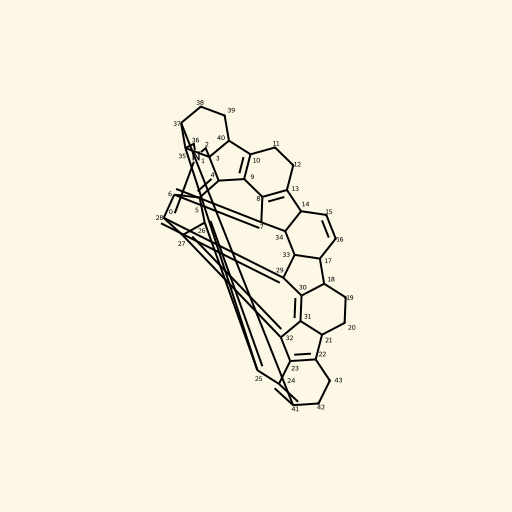 CN1CC23c4c5c6c7c8c4=C4CCC=8C8C=CC9C%10CCC%11C%12=c%13c%14c(c-5c5c-6c(c%10c%11c%135)C9C78)C2(C1)C(CCC43)C=%14CC%12